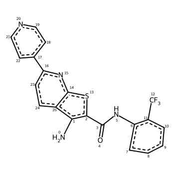 Nc1c(C(=O)Nc2ccccc2C(F)(F)F)sc2nc(-c3ccncc3)ccc12